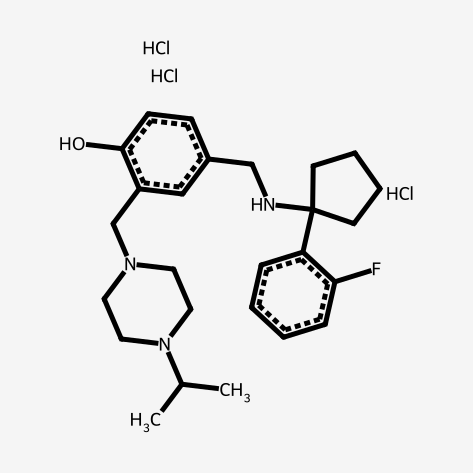 CC(C)N1CCN(Cc2cc(CNC3(c4ccccc4F)CCCC3)ccc2O)CC1.Cl.Cl.Cl